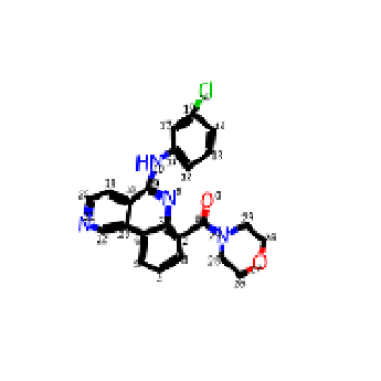 O=C(c1cccc2c1nc(Nc1cccc(Cl)c1)c1ccncc12)N1CCOCC1